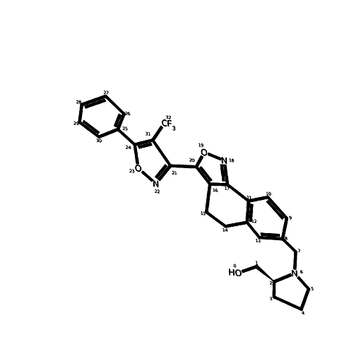 OC[C@@H]1CCCN1Cc1ccc2c(c1)CCc1c-2noc1-c1noc(-c2ccccc2)c1C(F)(F)F